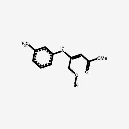 COC(=O)/C=C(\COC(C)C)Nc1cccc(C(F)(F)F)c1